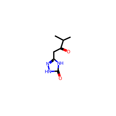 CC(C)C(=O)Cc1n[nH]c(=O)[nH]1